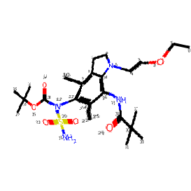 CCOCCN1CCc2c(C)c(N(C(=O)OC(C)(C)C)S(N)(=O)=O)c(C)c(NC(=O)C(C)(C)C)c21